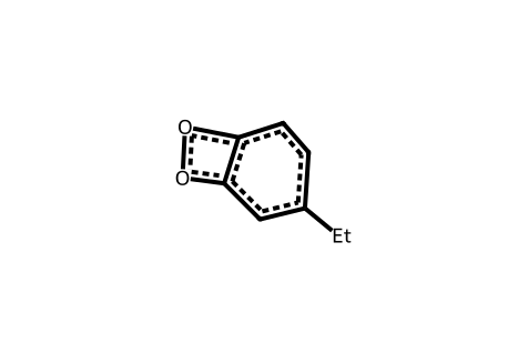 CCc1ccc2ooc2c1